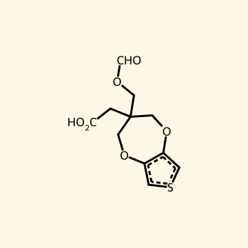 O=COCC1(CC(=O)O)COc2cscc2OC1